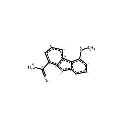 COc1cccc2sc3c(C(C)=O)cccc3c12